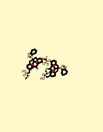 O=P(Cc1ccc(CC(Cc2ccc(OP(=O)(Oc3ccc(CC(Cc4ccc(CP(=O)(OF)OF)cc4)(c4ccc(F)c(F)c4)n4nnc5ccccc54)cc3)C(F)F)cc2)(c2ccc(F)c(F)c2)n2nnc3ccccc32)cc1)(OF)OF